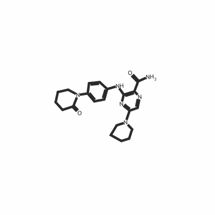 NC(=O)c1ncc(N2CCCCC2)nc1Nc1ccc(N2CCCCC2=O)cc1